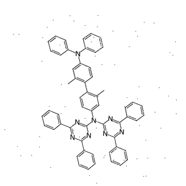 Cc1cc(N(c2ccccc2)c2ccccc2)ccc1-c1ccc(N(c2nc(-c3ccccc3)nc(-c3ccccc3)n2)c2nc(-c3ccccc3)nc(-c3ccccc3)n2)cc1C